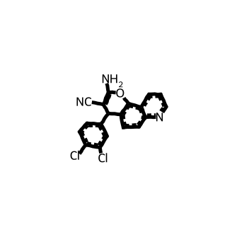 N#CC1=C(N)Oc2c(ccc3ncccc23)C1c1ccc(Cl)c(Cl)c1